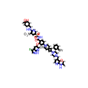 COc1nc2[nH]cc(F)c2cc1Oc1cc(N2CCC3(CC2)CC(N2CCN(Cc4ccnc5c4OCC(C)N5)C[C@H]2c2ccccc2C(C)C)C3)ccc1C(=O)NS(=O)(=O)c1cnc(NCC2CCC(C)(O)CC2)c([N+](=O)[O-])c1